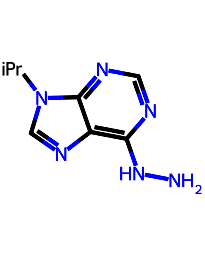 CC(C)n1cnc2c(NN)ncnc21